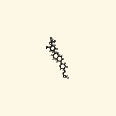 CCCC1CCC(C2CCC3CC(c4ccc(OC(F)F)c(F)c4)CCC3C2)CC1